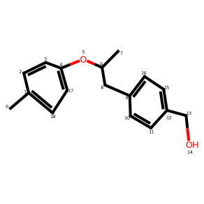 Cc1ccc(OC(C)Cc2ccc(CO)cc2)cc1